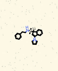 [Li][C]1([Si](C)(C)NCCc2ccccc2)C=C(n2cccc2)c2ccccc21